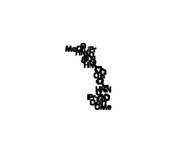 COC(=O)N[C@H](C(=O)N1CCC[C@H]1c1ncc(-c2cc3c4c(c2)Oc2ccc(-c5cnc([C@@H]6CCCN6C(=O)[C@@H](NC(=O)OC)C(C)C)[nH]5)cc2N4CC3)[nH]1)C(C)C